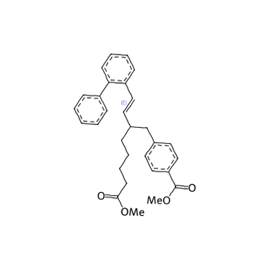 COC(=O)CCCCC(/C=C/c1ccccc1-c1ccccc1)Cc1ccc(C(=O)OC)cc1